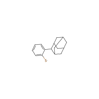 [S]c1ccccc1C1C2CC3CC(C2)CC1C3